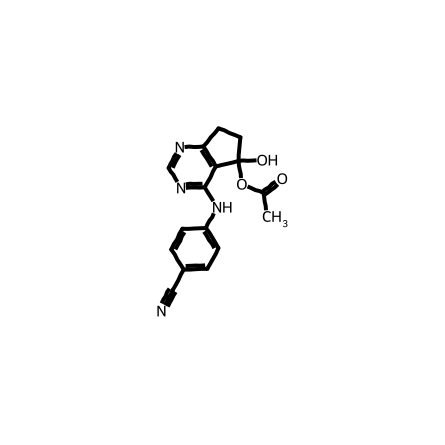 CC(=O)OC1(O)CCc2ncnc(Nc3ccc(C#N)cc3)c21